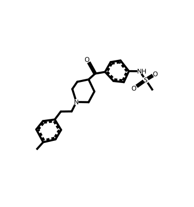 Cc1ccc(CCN2CCC(C(=O)c3ccc(NS(C)(=O)=O)cc3)CC2)cc1